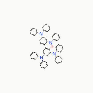 c1ccc(N2B3c4c(cc(N(c5ccccc5)c5ccccc5)cc4-n4c5ccccc5c5cccc3c54)-c3ccc(N(c4ccccc4)c4ccccc4)cc32)cc1